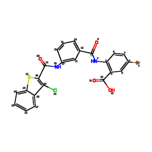 O=C(Nc1ccc(Br)cc1C(=O)O)c1cccc(NC(=O)c2sc3ccccc3c2Cl)c1